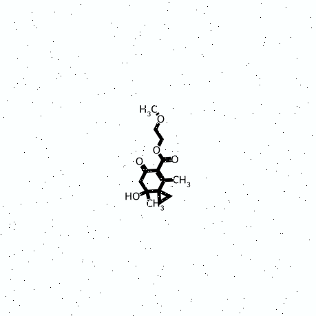 COCCOC(=O)C1=C(C)C2(CC2)C(C)(O)CC1=O